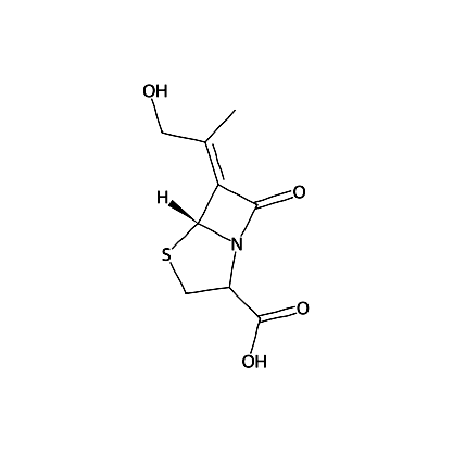 CC(CO)=C1C(=O)N2C(C(=O)O)CS[C@H]12